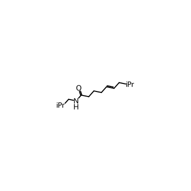 CC(C)C/C=C/CCCC(=O)NCC(C)C